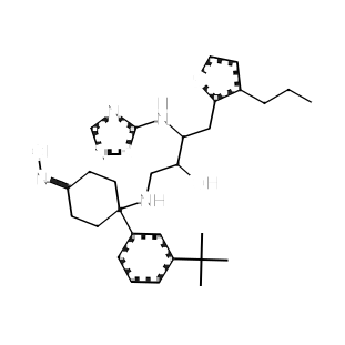 CCCc1ccsc1CC(Nc1ncns1)C(O)CNC1(c2cccc(C(C)(C)C)c2)CCC(=NO)CC1